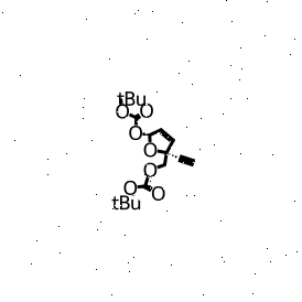 C#C[C@@]1(COC(=O)OC(C)(C)C)C=C[C@H](OC(=O)OC(C)(C)C)O1